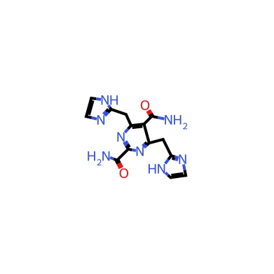 NC(=O)c1nc(Cc2ncc[nH]2)c(C(N)=O)c(Cc2ncc[nH]2)n1